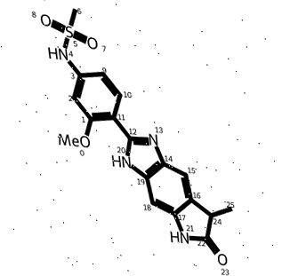 COc1cc(NS(C)(=O)=O)ccc1-c1nc2cc3c(cc2[nH]1)NC(=O)C3C